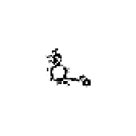 CC[C@H]1OC(=O)[C@H](C)C(=O)[C@H](C)[C@@H](OC2O[C@H](C)C[C@H](N(C)C)[C@H]2O)[C@@](C)(OC)C[C@@H](C)C(=O)[C@H](C)[C@H]2N(CCCCn3cnc4ccccc43)C(=O)O[C@]12CC